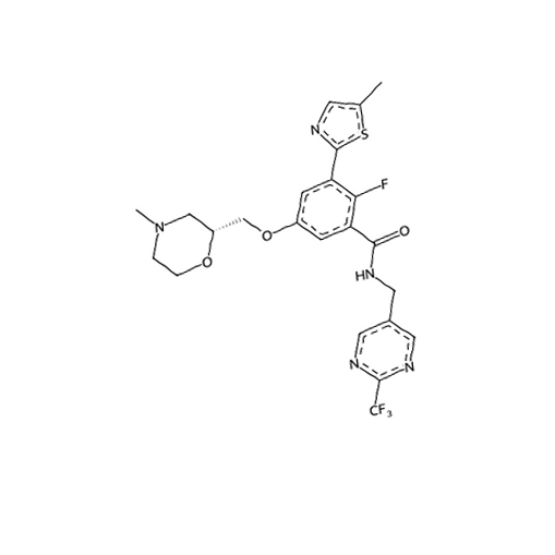 Cc1cnc(-c2cc(OC[C@H]3CN(C)CCO3)cc(C(=O)NCc3cnc(C(F)(F)F)nc3)c2F)s1